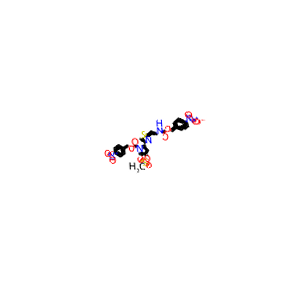 CS(=O)(=O)O[C@@H]1C[C@@H](c2csc(CCNC(=O)OCc3ccc([N+](=O)[O-])cc3)n2)N(C(=O)OCc2ccc([N+](=O)[O-])cc2)C1